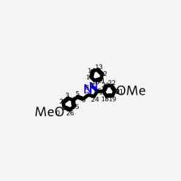 COc1ccc(/C=C/C2=NN(c3ccccc3)C(c3ccc(OC)cc3)C2)cc1